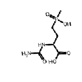 CP(=O)(O)CCC(NC(N)=O)C(=O)O